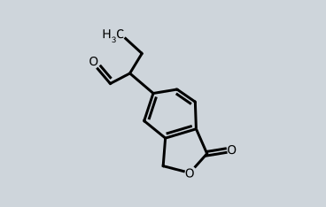 CCC(C=O)c1ccc2c(c1)COC2=O